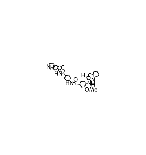 COc1cc(CC(=O)Nc2ccc(C(CC(=O)O)NC(=O)Cc3cccnc3)cc2)ccc1NC(=O)Nc1ccccc1C